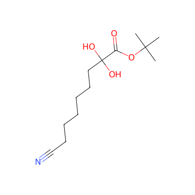 CC(C)(C)OC(=O)C(O)(O)CCCCCCC#N